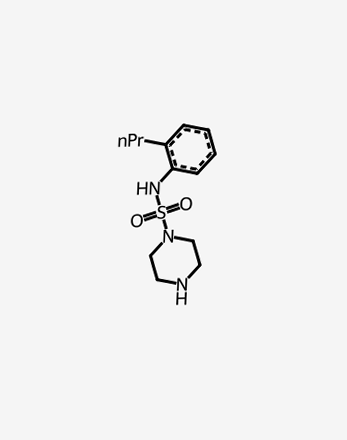 CCCc1ccccc1NS(=O)(=O)N1CCNCC1